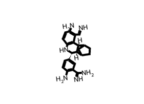 N=Cc1c(N)ccc2c1[C@H]1C3CCC(C3)[C@H]1[C@H](c1ccc(N)c(C(=N)N)c1)N2